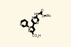 CC(C)(C)OC(=O)Nc1cnc(-c2cc(C(=O)O)nn2-c2cccnc2)cn1